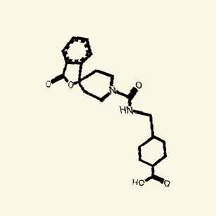 O=C1OC2(CCN(C(=O)NCC3CCC(C(=O)O)CC3)CC2)c2ccccc21